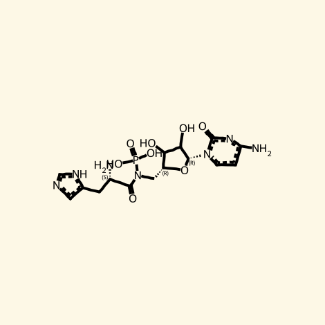 Nc1ccn([C@@H]2O[C@H](CN(C(=O)[C@@H](N)Cc3cnc[nH]3)P(=O)(O)O)C(O)C2O)c(=O)n1